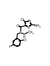 CNN(Cc1cc(F)ccc1Cl)C(=O)c1sc(N)nc1Cl